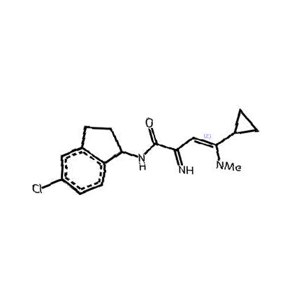 CN/C(=C\C(=N)C(=O)NC1CCc2cc(Cl)ccc21)C1CC1